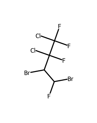 FC(Br)C(Br)C(F)(Cl)C(F)(F)Cl